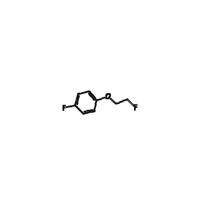 FCCOc1ccc(F)cc1